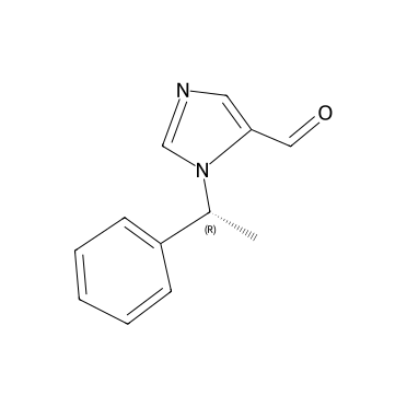 C[C@H](c1ccccc1)n1cncc1C=O